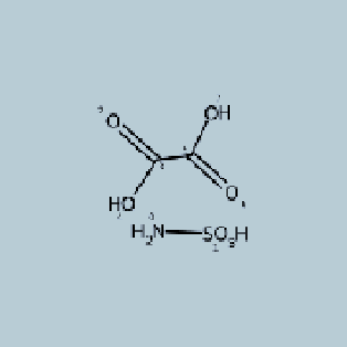 NS(=O)(=O)O.O=C(O)C(=O)O